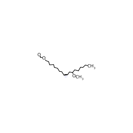 CCCCCCC(C/C=C\CCCCCCCCOC=O)OC